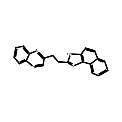 c1ccc2c(c1)ccc1[nH]c(CCc3cnc4ccccc4n3)nc12